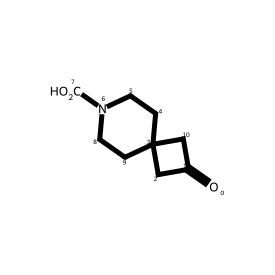 O=C1CC2(CCN(C(=O)O)CC2)C1